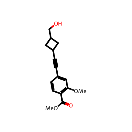 COC(=O)c1ccc(C#CC2CC(CO)C2)cc1OC